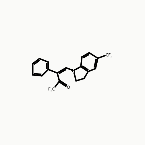 O=C(/C(=C\N1CCc2cc(C(F)(F)F)ccc21)c1ccccc1)C(F)(F)F